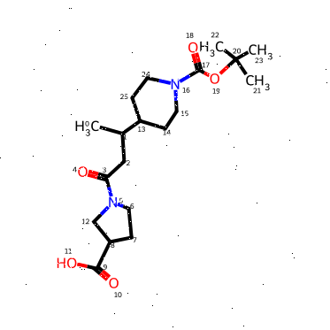 CC(CC(=O)N1CCC(C(=O)O)C1)C1CCN(C(=O)OC(C)(C)C)CC1